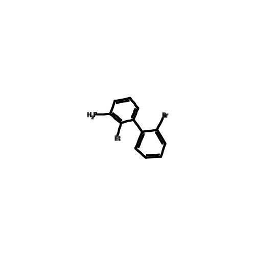 CCc1c(P)cccc1-c1ccccc1Br